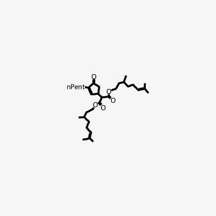 CCCCCC1=CC(C(C(=O)OCCC(C)CCC=C(C)C)C(=O)OCCC(C)CCC=C(C)C)CC1=O